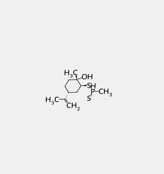 C=C(C)[C@@H]1CC[C@](C)(O)[C@@H](S[PH](C)=S)C1